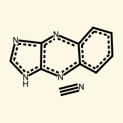 C#N.c1ccc2nc3[nH]cnc3nc2c1